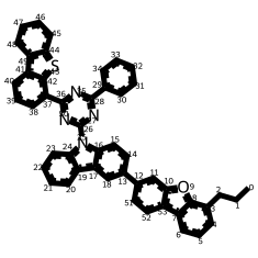 CCCc1cccc2c1oc1cc(-c3ccc4c(c3)c3ccccc3n4-c3nc(-c4ccccc4)nc(-c4cccc5c4sc4ccccc45)n3)ccc12